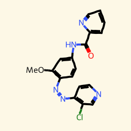 COc1cc(NC(=O)c2ccccn2)ccc1/N=N\c1ccncc1Cl